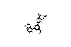 C=CCC(NC(=O)c1cc(C=O)cc(-c2cccc3[nH]cnc23)c1)C(=O)NC